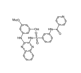 COc1cc(O)cc(Nc2nc3ccccc3nc2NS(=O)(=O)c2cccc(NC(=O)c3ccncc3)c2)c1